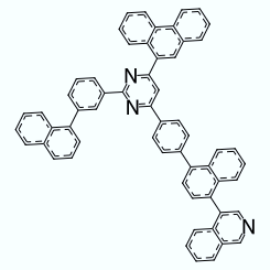 c1cc(-c2nc(-c3ccc(-c4ccc(-c5cncc6ccccc56)c5ccccc45)cc3)cc(-c3cc4ccccc4c4ccccc34)n2)cc(-c2cccc3ccccc23)c1